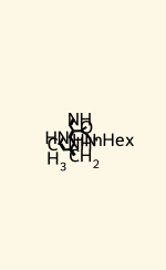 C=C1C=C(C)N/C(=C(\C=N)C2OC2NCCCCCC)N1